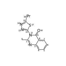 Cc1nc2ccccc2c(=O)n1-c1nnc(C(C)C)s1